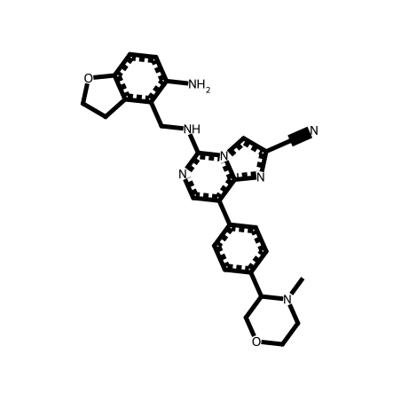 CN1CCOCC1c1ccc(-c2cnc(NCc3c(N)ccc4c3CCO4)n3cc(C#N)nc23)cc1